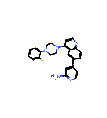 Nc1cc(-c2ccc3nccc(N4CCN(c5ccccc5F)CC4)c3c2)ccn1